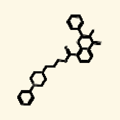 Cc1c(-c2ccccc2)oc2c(C(=O)OCCCN3CCN(c4ccccc4)CC3)cccc2c1=O